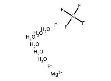 F[Si](F)(F)F.O.O.O.O.O.O.[F-].[F-].[Mg+2]